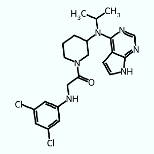 CC(C)N(c1ncnc2[nH]ccc12)C1CCCN(C(=O)CNc2cc(Cl)cc(Cl)c2)C1